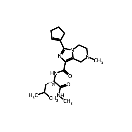 CNC(=O)[C@H](CC(C)C)NC(=O)c1nc(C2=CCCC2)n2c1CN(C)CC2